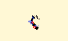 CCN(CC)CCCCNc1nnc(-c2ccc(NC(=O)c3ccccc3)cc2F)o1